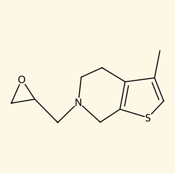 Cc1csc2c1CCN(CC1CO1)C2